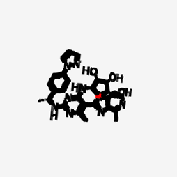 Cc1nc(N[C@H](C)c2ccc(-n3cccn3)cc2)nc(N[C@@H]2C[C@H](CO)[C@@H](O)[C@H]2O)c1-c1nc2c(C)nccc2s1